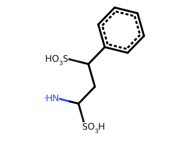 [NH]C(CC(c1ccccc1)S(=O)(=O)O)S(=O)(=O)O